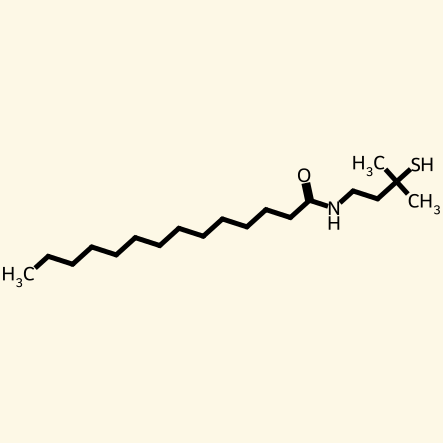 CCCCCCCCCCCCCC(=O)NCCC(C)(C)S